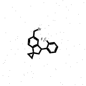 FC(F)(F)c1ccccc1C1CC2(CC2)c2ccc(CBr)cc21